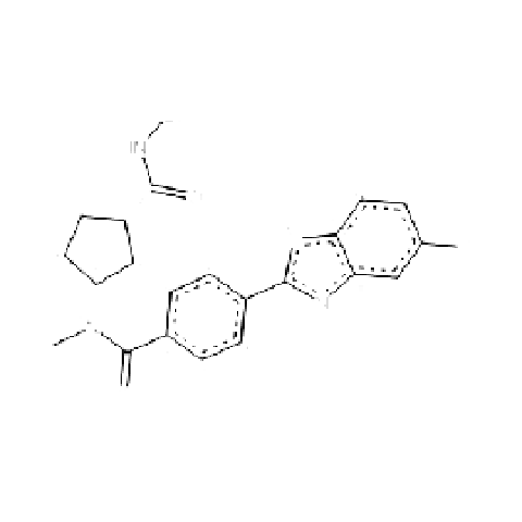 CCNC(=O)[C@H]1CC[C@@H](N(C)C(=O)c2ccc(-c3nc4cc(Cl)ccc4o3)cc2)C1